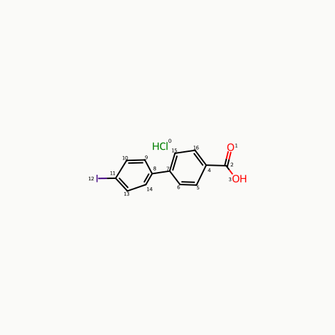 Cl.O=C(O)c1ccc(-c2ccc(I)cc2)cc1